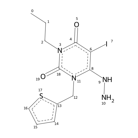 CCCn1c(=O)c(I)c(NN)n(Cc2cccs2)c1=O